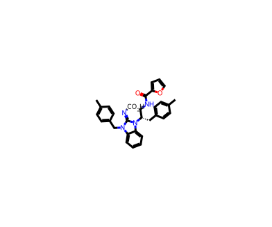 Cc1ccc(C[C@@H](CNC(=O)c2ccco2)n2c(=NC(=O)O)n(Cc3ccc(C)cc3)c3ccccc32)cc1